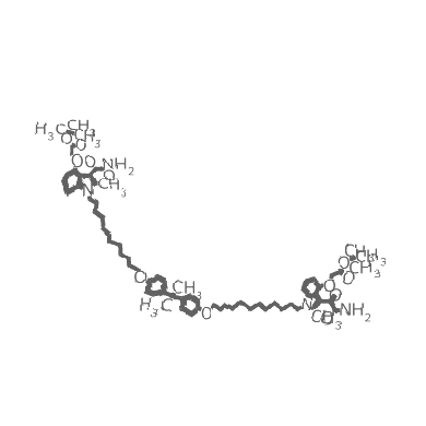 Cc1c(C(=O)C(N)=O)c2c(OCC(=O)OC(C)(C)C)cccc2n1CCCCCCCCCCCCOc1ccc(C(C)(C)c2ccc(OCCCCCCCCCCCCn3c(C)c(C(=O)C(N)=O)c4c(OCC(=O)OC(C)(C)C)cccc43)cc2)cc1